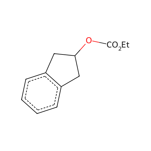 C[CH]OC(=O)OC1Cc2ccccc2C1